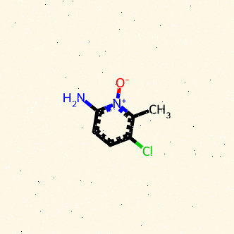 Cc1c(Cl)ccc(N)[n+]1[O-]